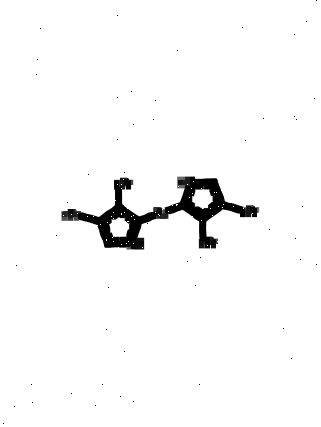 CCCc1c[nH][c]([Ru][c]2[nH]cc(CCC)c2CCC)c1CCC